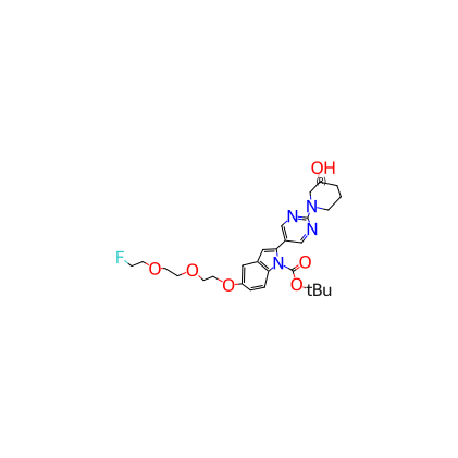 CC(C)(C)OC(=O)n1c(-c2cnc(N3CCC[C@@H](O)C3)nc2)cc2cc(OCCOCCOCCF)ccc21